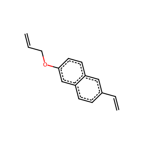 C=CCOc1ccc2cc(C=C)ccc2c1